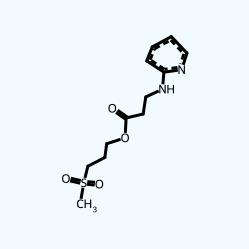 CS(=O)(=O)CCCOC(=O)CCNc1ccccn1